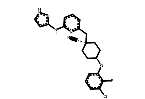 N#C[C@]1(Cc2cccc(Nc3cc[nH]n3)n2)CC[C@@H](Oc2cccc(Cl)c2F)CC1